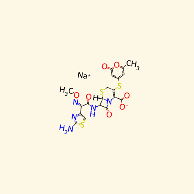 CO/N=C(\C(=O)N[C@@H]1C(=O)N2C(C(=O)[O-])=C(Sc3cc(C)oc(=O)c3)CS[C@@H]12)c1csc(N)n1.[Na+]